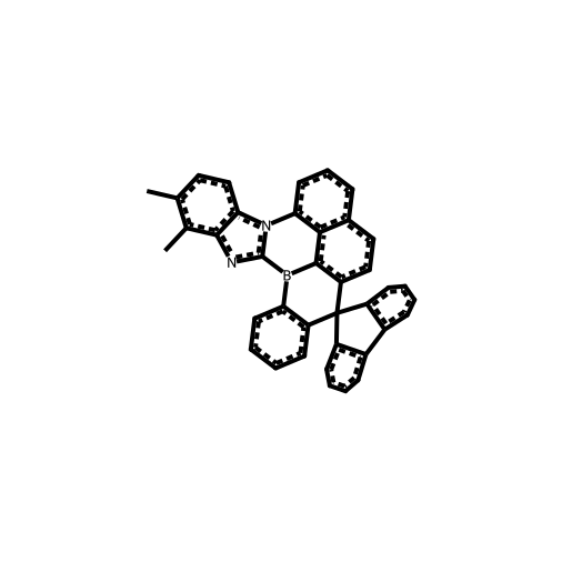 Cc1ccc2c(nc3n2-c2cccc4ccc5c(c24)B3c2ccccc2C52c3ccccc3-c3ccccc32)c1C